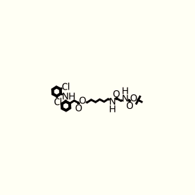 CC(C)(C)OC(=O)NCC(=O)NCCCCCCOC(=O)Cc1ccccc1Nc1c(Cl)cccc1Cl